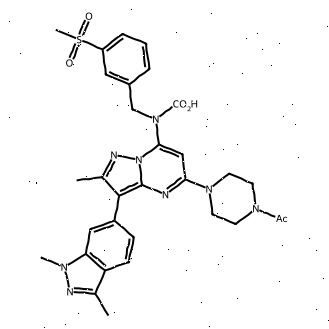 CC(=O)N1CCN(c2cc(N(Cc3cccc(S(C)(=O)=O)c3)C(=O)O)n3nc(C)c(-c4ccc5c(C)nn(C)c5c4)c3n2)CC1